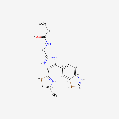 COCC(=O)NCc1nc(-c2nc(C)cs2)c(-c2ccc3ncsc3c2)[nH]1